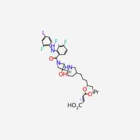 CC(C)CC(CCCC1CC[C@@H](C2(O)CN(C(=O)c3ccc(F)c(F)c3Nc3ccc(I)cc3F)C2)NC1)OC(=O)/C=C/C(=O)O